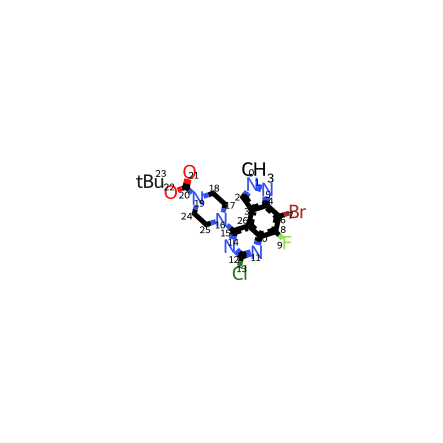 Cn1cc2c(n1)c(Br)c(F)c1nc(Cl)nc(N3CCN(C(=O)OC(C)(C)C)CC3)c12